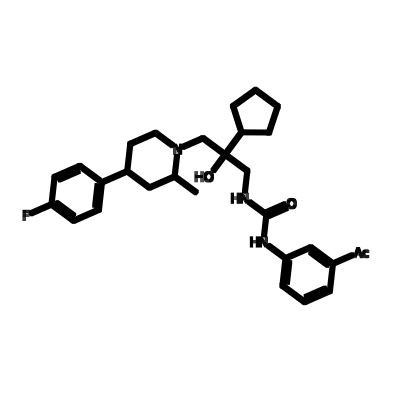 CC(=O)c1cccc(NC(=O)NCC(O)(CN2CCC(c3ccc(F)cc3)CC2C)C2CCCC2)c1